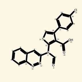 O=CN(c1cc2ccccc2nn1)c1scc(-c2ccc(Cl)cc2)c1C(=O)O